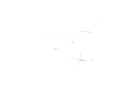 CCC[Si](OC)(OCC)OC(C)(C)C